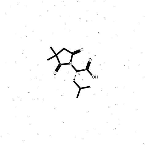 CC(C)C[C@@H](C(=O)O)N1C(=O)CC(C)(C)C1=O